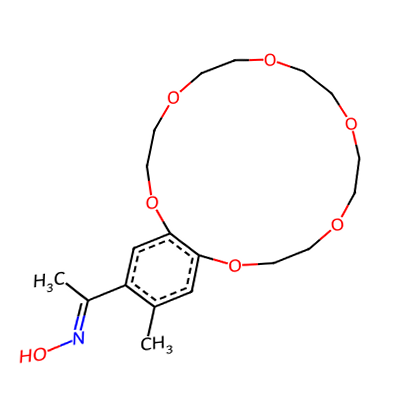 CC(=NO)c1cc2c(cc1C)OCCOCCOCCOCCOCCO2